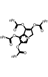 CCCC(=O)OC1=C(OC(=O)CCC)c2c(OC(=O)CCC)c(OC(=O)CCC)cn2C1